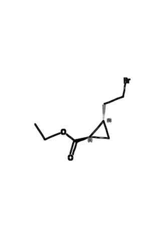 CCOC(=O)[C@@H]1C[C@H]1CCBr